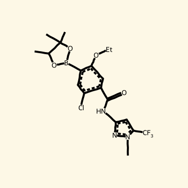 CCOc1cc(C(=O)Nc2cc(C(F)(F)F)n(C)n2)c(Cl)cc1B1OC(C)C(C)(C)O1